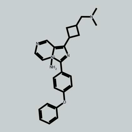 CN(C)CC1CC(C2=C3C=NC=C[N+]3(N)C(c3ccc(Oc4ccccc4)cc3)=N2)C1